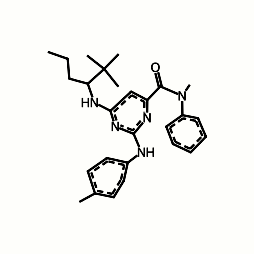 CCCC(Nc1cc(C(=O)N(C)c2ccccc2)nc(Nc2ccc(C)cc2)n1)C(C)(C)C